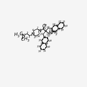 CN(C)CCN1CCN(C(=O)C(CN)(Cc2ccc3ccccc3c2)Cc2ccc3ccccc3c2)CC1